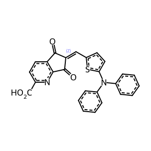 O=C(O)c1ccc2c(n1)C(=O)/C(=C\c1ccc(N(c3ccccc3)c3ccccc3)s1)C2=O